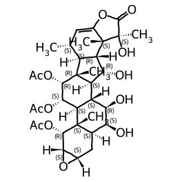 CC(=O)O[C@H]1[C@H]2[C@@H]([C@@H](O)[C@@H](O)[C@H]3C[C@@H]4O[C@@H]4[C@H](OC(C)=O)[C@]23C)[C@@H]2[C@@H](O)[C@@H]3[C@H]([C@H](C)C=C4OC(=O)[C@@](C)(O)[C@@]43C)[C@@]2(C)[C@H]1OC(C)=O